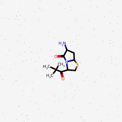 CC(C)(C)C(=O)C1CSC2CC(N)C(=O)N21